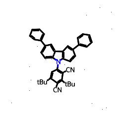 CC(C)(C)c1cc(-n2c3ccc(-c4ccccc4)cc3c3cc(-c4ccccc4)ccc32)c(C#N)c(C(C)(C)C)c1C#N